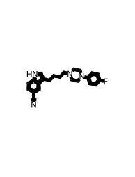 N#Cc1ccc2[nH]cc(CCCCN3CCN(c4ccc(F)cc4)CC3)c2c1